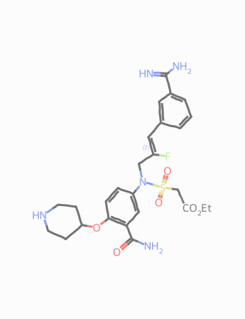 CCOC(=O)CS(=O)(=O)N(C/C(F)=C/c1cccc(C(=N)N)c1)c1ccc(OC2CCNCC2)c(C(N)=O)c1